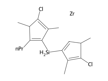 CCCC1=C([SiH2]C2=CC(C)C(Cl)=C2C)C(C)=C(Cl)C1C.[Zr]